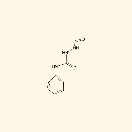 O=CNNC(=O)Nc1ccccc1